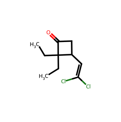 CCC1(CC)C(=O)CC1C=C(Cl)Cl